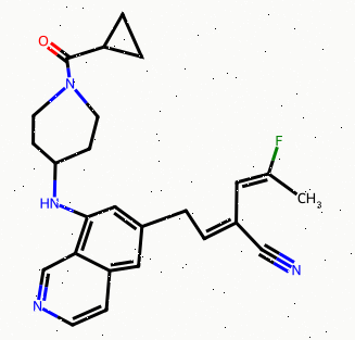 C/C(F)=C\C(C#N)=C/Cc1cc(NC2CCN(C(=O)C3CC3)CC2)c2cnccc2c1